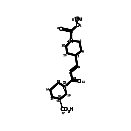 CC(C)(C)OC(=O)N1CCC(C=CC(=O)N2CCC[C@@H](C(=O)O)C2)CC1